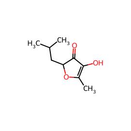 CC1=C(O)C(=O)C(CC(C)C)O1